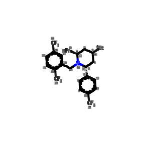 CCC[C@H]1C[C@@H](CC)C[C@H](c2ccc(C(F)(F)F)cc2)N1Cc1cc(C(F)(F)F)ccc1C(F)(F)F